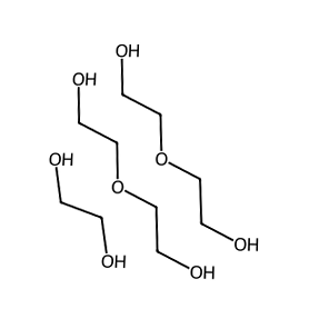 OCCO.OCCOCCO.OCCOCCO